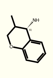 CC1COc2ccccc2[C@H]1[NH]